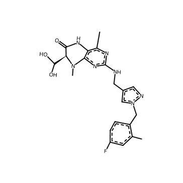 Cc1cc(F)ccc1Cn1cc(CNc2nc(C)c3c(n2)N(C)[C@@H](C(O)O)C(=O)N3)cn1